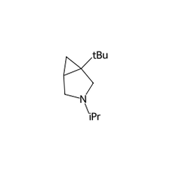 CC(C)N1CC2CC2(C(C)(C)C)C1